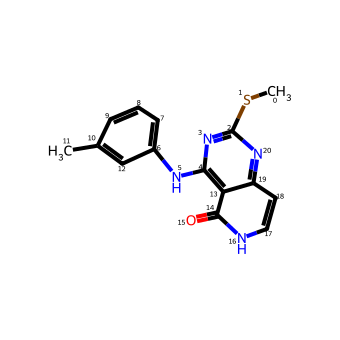 CSc1nc(Nc2cccc(C)c2)c2c(=O)[nH]ccc2n1